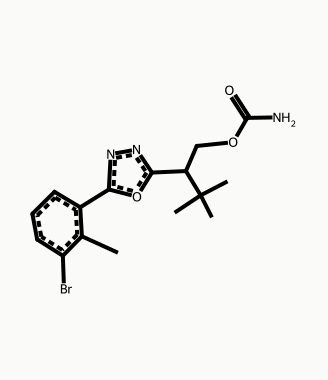 Cc1c(Br)cccc1-c1nnc(C(COC(N)=O)C(C)(C)C)o1